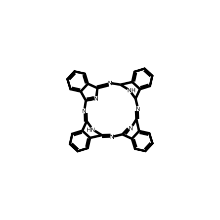 c1ccc2c(c1)C1=NC/2=N\C2NC(/N=C3N=C(/N=c4\[nH]/c(c5ccccc45)=N\1)c1ccccc1\3)c1ccccc12